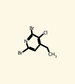 CCc1cc(Br)nc(Br)c1Cl